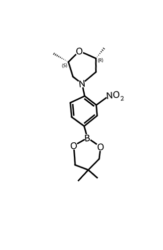 C[C@@H]1CN(c2ccc(B3OCC(C)(C)CO3)cc2[N+](=O)[O-])C[C@H](C)O1